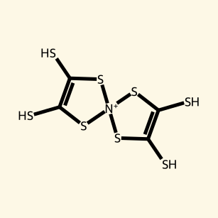 SC1=C(S)S[N+]2(S1)SC(S)=C(S)S2